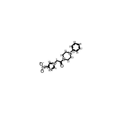 O=C(Cn1cnc([N+](=O)[O-])c1)N1CCN(c2ccccc2)CC1